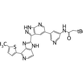 Cc1ccc(-c2nccc3[nH]c(-c4n[nH]c5ncc(-c6cncc(NC(=O)CC(C)(C)C)c6)cc45)nc23)s1